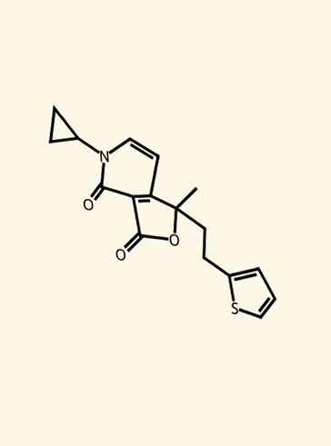 CC1(CCc2cccs2)OC(=O)c2c1ccn(C1CC1)c2=O